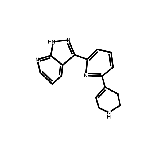 C1=C(c2cccc(-c3n[nH]c4ncccc34)n2)CCNC1